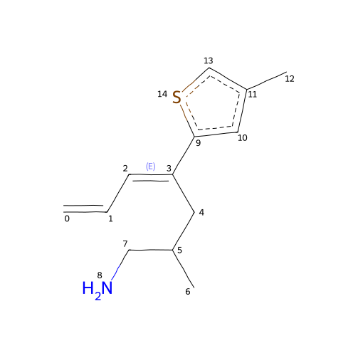 C=C/C=C(\CC(C)CN)c1cc(C)cs1